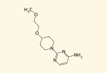 COCCOC1CCN(c2nccc(N)n2)CC1